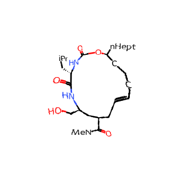 CCCCCCCC1CCC/C=C/CC(C(=O)NC)C[C@@H](CO)NC(=O)[C@H](CC(C)C)NC(=O)O1